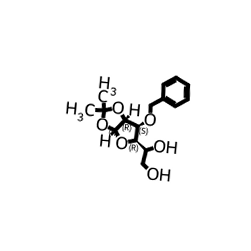 CC1(C)O[C@H]2O[C@H](C(O)CO)[C@H](OCc3ccccc3)[C@H]2O1